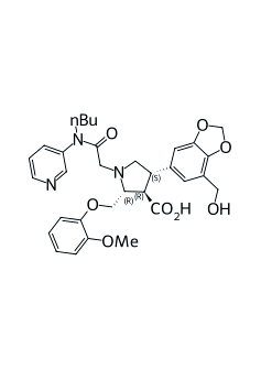 CCCCN(C(=O)CN1C[C@H](c2cc(CO)c3c(c2)OCO3)[C@@H](C(=O)O)[C@@H]1COc1ccccc1OC)c1cccnc1